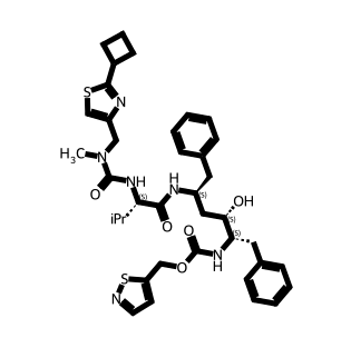 CC(C)[C@H](NC(=O)N(C)Cc1csc(C2CCC2)n1)C(=O)N[C@@H](Cc1ccccc1)C[C@H](O)[C@H](Cc1ccccc1)NC(=O)OCc1ccns1